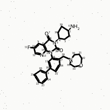 N[C@H]1CC[C@@H](n2c(=O)c3cc(F)cnc3n(-c3cc(-c4ccccc4)ccc3CN3CCCOCC3)c2=O)CC1